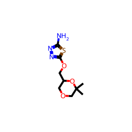 CC1(C)COCC(COc2nnc(N)s2)O1